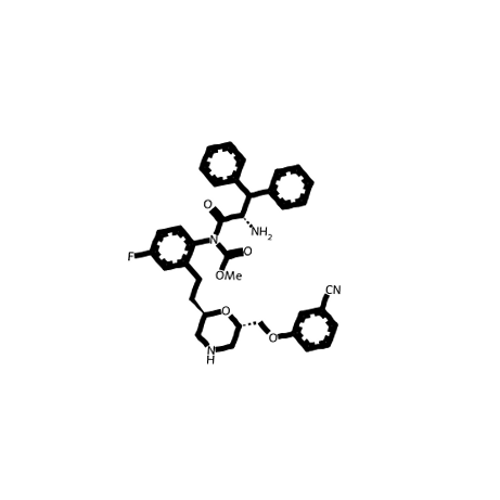 COC(=O)N(C(=O)[C@@H](N)C(c1ccccc1)c1ccccc1)c1ccc(F)cc1CC[C@@H]1CNC[C@@H](COc2cccc(C#N)c2)O1